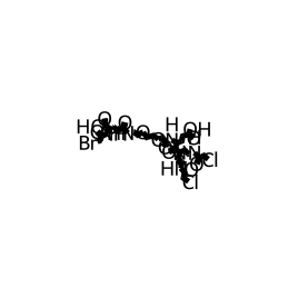 O=C(O)CCC(NC(=O)COCCOCCNC(=O)CC[C@H](NC(=O)CBr)C(=O)O)C(=O)N(CCNC(=O)CCl)CCNC(=O)CCl